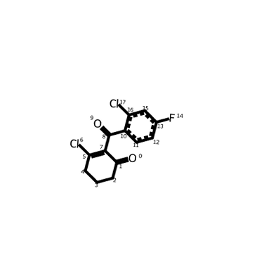 O=C1CCCC(Cl)=C1C(=O)c1ccc(F)cc1Cl